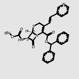 CC(C)(C)OC(=O)N[C@@H]1C(=O)N2C(C(=O)OC(c3ccccc3)c3ccccc3)=C(/C=C/c3cccnc3)CS[C@H]12